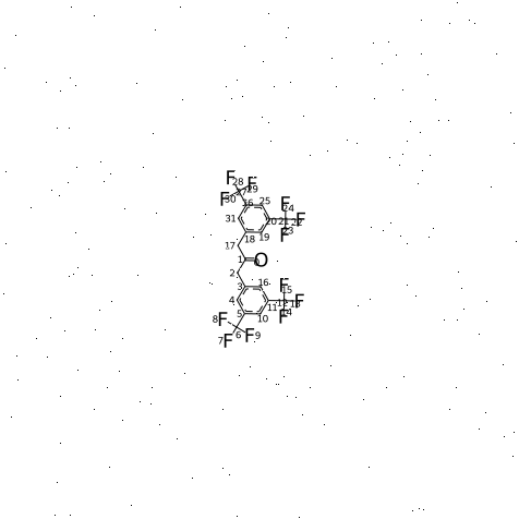 O=C(Cc1cc(C(F)(F)F)cc(C(F)(F)F)c1)Cc1cc(C(F)(F)F)cc(C(F)(F)F)c1